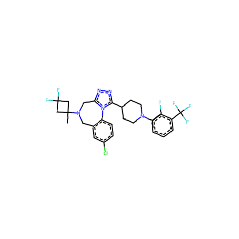 CC1(N2Cc3cc(Cl)ccc3-n3c(nnc3C3CCN(c4cccc(C(F)(F)F)c4F)CC3)C2)CC(F)(F)C1